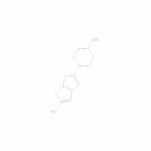 CCCCC1COC(c2cc3cc(C#N)sc3s2)OC1